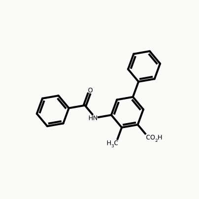 Cc1c(NC(=O)c2ccccc2)cc(-c2ccccc2)cc1C(=O)O